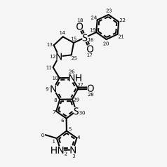 Cc1[nH]ncc1-c1cc2nc(CN3CCC(S(=O)(=O)c4ccccc4)C3)[nH]c(=O)c2s1